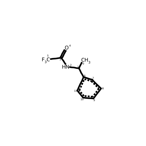 CC(NC(=O)C(F)(F)F)c1ccccc1